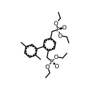 CCOP(=O)(Cc1ccc(CP(=O)(OCC)OCC)c(-c2cc(C)ccc2C)c1)OCC